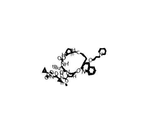 C=C[C@@H]1C[C@]1(NC(=O)[C@@H]1C[C@@H]2CN1C(=O)[C@H](C(C)(C)C)NC(=O)O[C@@H]1CCC[C@H]1CCC=CCc1c(nc3ccccc3c1OCCCN1CCCCC1)O2)C(=O)NS(=O)(=O)C1CC1